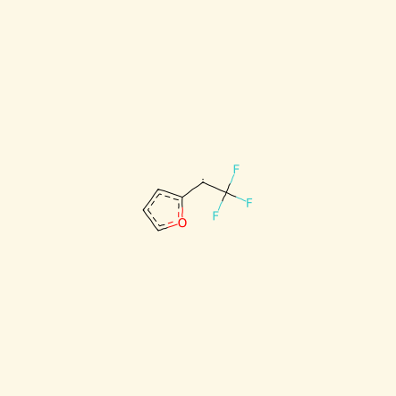 FC(F)(F)[CH]c1ccco1